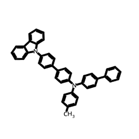 Cc1ccc(N(c2ccc(-c3ccccc3)cc2)c2ccc(-c3ccc(-n4c5ccccc5c5ccccc54)cc3)cc2)cc1